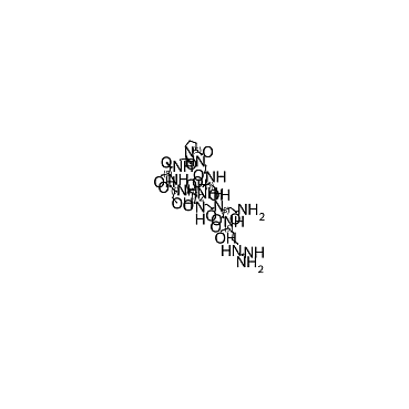 C[C@@H](O)[C@H](NC(=O)[C@H](CO)NC(=O)CNC(=O)[C@@H]1CCCN1C(=O)CNC(=O)[C@H](CO)NC(=O)[C@@H](N)CO)C(=O)NCC(=O)N[C@@H](CC(N)=O)C(=O)N[C@@H](CCCNC(=N)N)C(=O)O